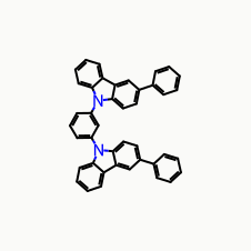 c1ccc(-c2ccc3c(c2)c2ccccc2n3-c2cccc(-n3c4ccccc4c4cc(-c5ccccc5)ccc43)c2)cc1